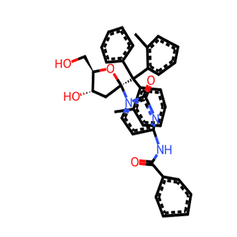 Cc1ccccc1C(c1ccccc1)(c1ccccc1C)[C@]1(n2ccc(NC(=O)c3ccccc3)nc2=O)C[C@H](O)[C@@H](CO)O1